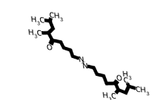 CC(C)CC(C)C(=O)CCCCN=NCCCCC(=O)C(C)CC(C)C